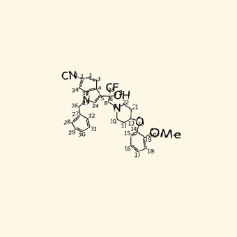 [C-]#[N+]c1ccc2c(C(O)(CN3CCC(Oc4ccccc4OC)CC3)C(F)(F)F)cn(Cc3ccccc3)c2c1